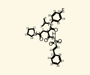 CC(C)N(C(=O)C(CC(=O)N1CCCC1)C(=O)NS(=O)(=O)C=Cc1ccccc1)c1ccc(F)cc1